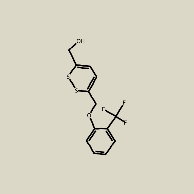 OCC1=CC=C(COc2ccccc2C(F)(F)F)SS1